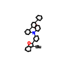 CC(C)(C)c1c(-c2cccc(N(c3ccccc3)c3ccccc3-c3ccc(-c4ccccc4)cc3)c2)oc2ccccc12